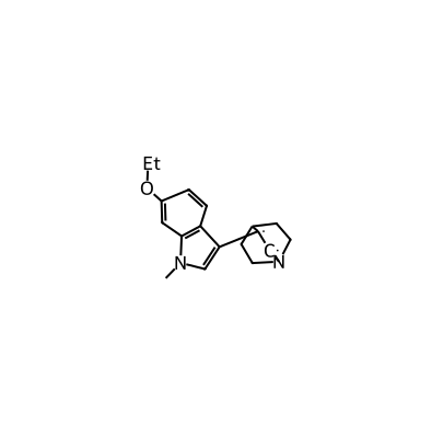 CCOc1ccc2c([C]3[CH]N4CCC3CC4)cn(C)c2c1